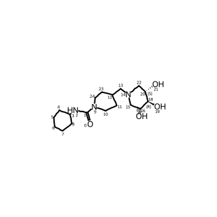 O=C(NC1CCCCC1)N1CCC(CN2C[C@@H](O)[C@H](O)[C@@H](O)C2)CC1